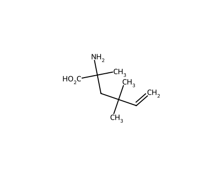 C=CC(C)(C)CC(C)(N)C(=O)O